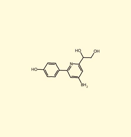 Bc1cc(-c2ccc(O)cc2)nc(C(O)CO)c1